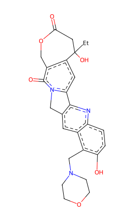 CCC1(O)CC(=O)OCc2c1cc1n(c2=O)Cc2cc3c(CN4CCOCC4)c(O)ccc3nc2-1